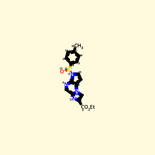 CCOC(=O)c1cn2c(cnc3c2ccn3[S+]([O-])c2ccc(C)cc2)n1